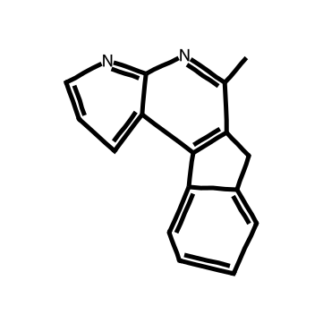 Cc1nc2ncccc2c2c1Cc1ccccc1-2